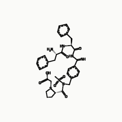 CS(=O)(=O)N(Cc1ccc(C(=N)NC(=O)[C@H](Cc2ccccc2)NC(=O)[C@@H](N)Cc2ccccc2)cc1)C(=O)[C@@H]1CCCN1CC(=O)O